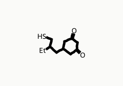 CCC(CS)CC1CC(=O)CC(=O)C1